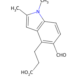 Cc1cc2c(CCC(=O)O)c(C=O)ccc2n1C